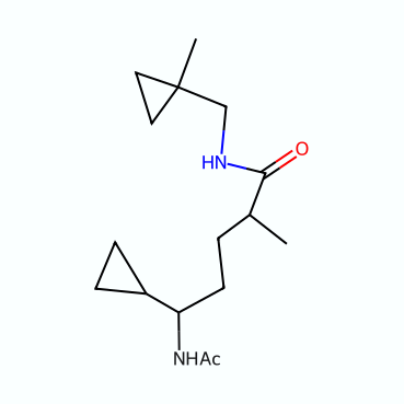 CC(=O)NC(CCC(C)C(=O)NCC1(C)CC1)C1CC1